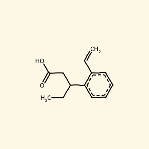 C=Cc1ccccc1C(CC)CC(=O)O